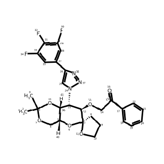 CC1(C)OC[C@H]2O[C@@]3(CCCO3)[C@H](OCC(=O)c3ccccc3)[C@@H](n3cc(-c4cc(F)c(F)c(F)c4)nn3)[C@H]2O1